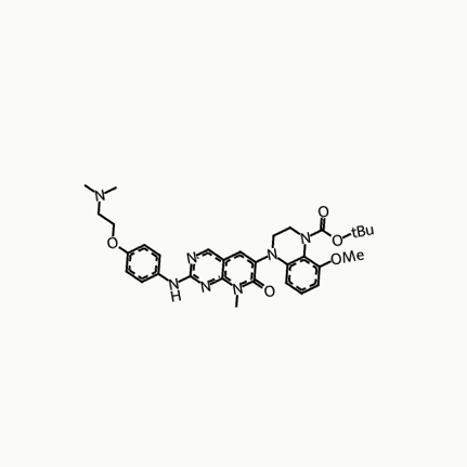 COc1cccc2c1N(C(=O)OC(C)(C)C)CCN2c1cc2cnc(Nc3ccc(OCCN(C)C)cc3)nc2n(C)c1=O